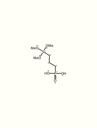 CO[Si](CCCP(=O)(O)O)(OC)OC